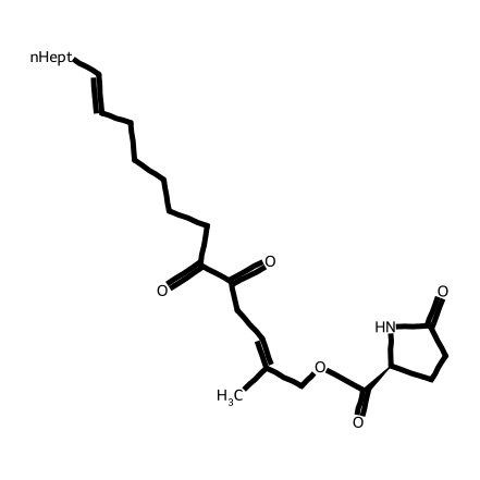 CCCCCCCC=CCCCCCC(=O)C(=O)CC=C(C)COC(=O)[C@@H]1CCC(=O)N1